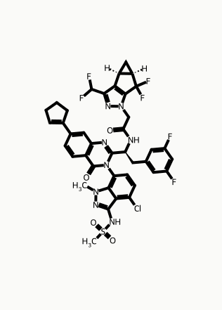 Cn1nc(NS(C)(=O)=O)c2c(Cl)ccc(-n3c([C@H](Cc4cc(F)cc(F)c4)NC(=O)Cn4nc(C(F)F)c5c4C(F)(F)[C@@H]4C[C@H]54)nc4cc(C5=CCCC5)ccc4c3=O)c21